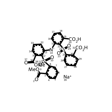 COC(=O)c1ccccc1S(=O)(=O)c1c([N-]c2cccc(C(=O)O)c2S(=O)(=O)c2ccccc2C(=O)O)cccc1C(=O)OC.[Na+]